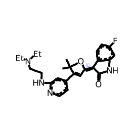 CCN(CC)CCNc1cc(C2=C/C(=C3\C(=O)Nc4cc(F)ccc43)OC2(C)C)ccn1